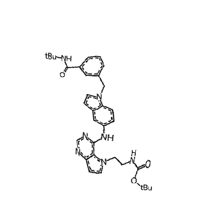 CC(C)(C)NC(=O)c1cccc(Cn2ccc3cc(Nc4ncnc5ccn(CCNC(=O)OC(C)(C)C)c45)ccc32)c1